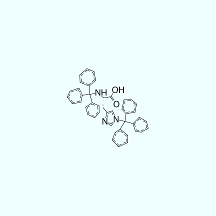 O=C(O)[C@H](Cc1cn(C(c2ccccc2)(c2ccccc2)c2ccccc2)cn1)NC(c1ccccc1)(c1ccccc1)c1ccccc1